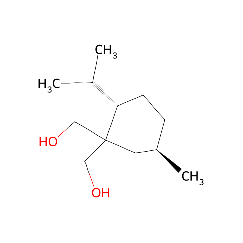 CC(C)[C@@H]1CC[C@@H](C)CC1(CO)CO